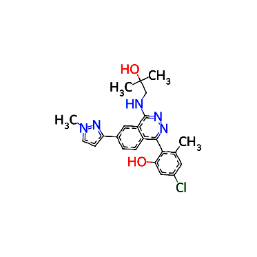 Cc1cc(Cl)cc(O)c1-c1nnc(NCC(C)(C)O)c2cc(-c3ccn(C)n3)ccc12